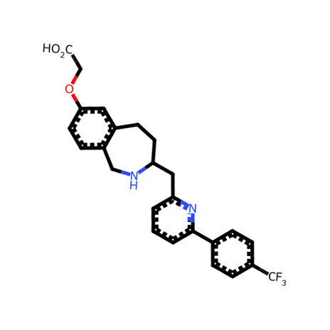 O=C(O)COc1ccc2c(c1)CCC(Cc1cccc(-c3ccc(C(F)(F)F)cc3)n1)NC2